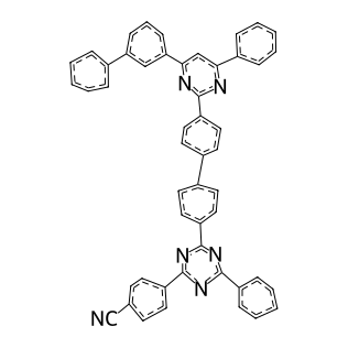 N#Cc1ccc(-c2nc(-c3ccccc3)nc(-c3ccc(-c4ccc(-c5nc(-c6ccccc6)cc(-c6cccc(-c7ccccc7)c6)n5)cc4)cc3)n2)cc1